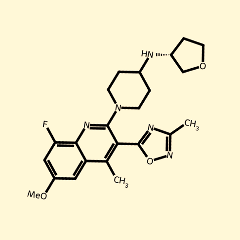 COc1cc(F)c2nc(N3CCC(N[C@@H]4CCOC4)CC3)c(-c3nc(C)no3)c(C)c2c1